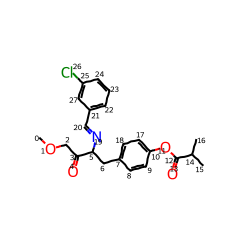 COCC(=O)C(Cc1ccc(OC(=O)C(C)C)cc1)N=Cc1cccc(Cl)c1